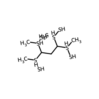 C[SH](S)C(CC([SH](C)S)[SH](C)S)[SH](C)S